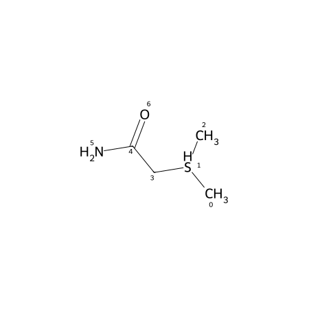 C[SH](C)CC(N)=O